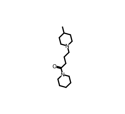 CC1CCN(CCCC(=O)N2CCCCC2)CC1